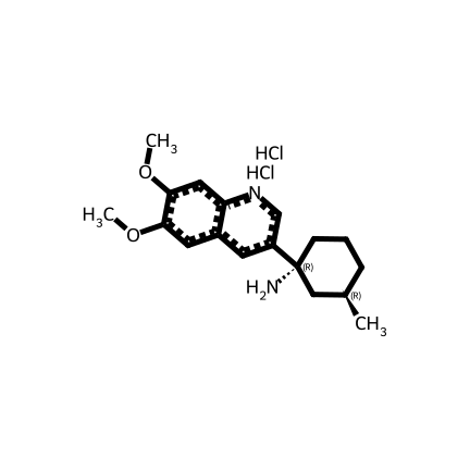 COc1cc2cc([C@@]3(N)CCC[C@@H](C)C3)cnc2cc1OC.Cl.Cl